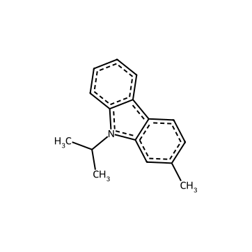 Cc1ccc2c3ccccc3n(C(C)C)c2c1